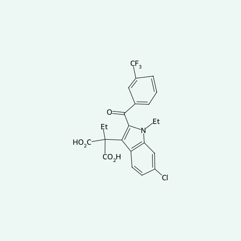 CCn1c(C(=O)c2cccc(C(F)(F)F)c2)c(C(CC)(C(=O)O)C(=O)O)c2ccc(Cl)cc21